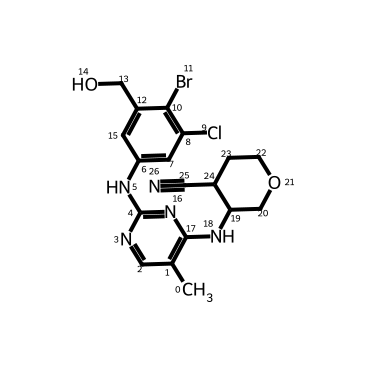 Cc1cnc(Nc2cc(Cl)c(Br)c(CO)c2)nc1NC1COCCC1C#N